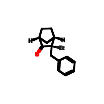 CC[C@@]1(Cc2ccccc2)C(=O)[C@@H]2CC[C@H]1C2